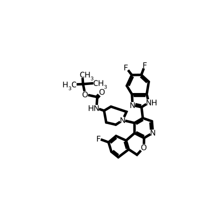 CC(C)(C)OC(=O)NC1CCN(c2c(-c3nc4cc(F)c(F)cc4[nH]3)cnc3c2-c2cc(F)ccc2CO3)CC1